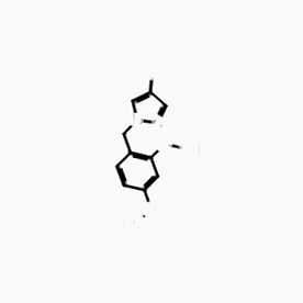 COc1ccc(Cn2cc(Cl)cn2)c(OC)c1